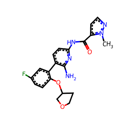 Cn1nccc1C(=O)Nc1ccc(-c2cc(F)ccc2OC2CCOC2)c(N)n1